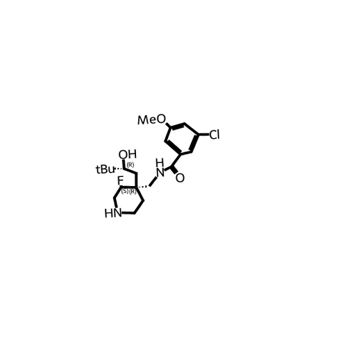 COc1cc(Cl)cc(C(=O)NC[C@]2(C[C@@H](O)C(C)(C)C)CCNC[C@H]2F)c1